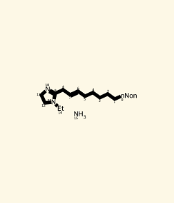 CCCCCCCCCCCCCCC=CCC1=NCCN1CC.N